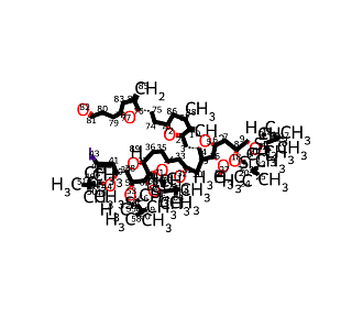 C=C1C(C[C@@H]2OC(CC(CO[Si](C)(C)C(C)(C)C)O[Si](C)(C)C(C)(C)C)[C@H](OC)C2CC(=O)CC2CC[C@@H]3O[C@@H](C(/C=C/I)O[Si](C)(C)C(C)(C)C)C(O[Si](C)(C)C(C)(C)C)C(O[Si](C)(C)C(C)(C)C)[C@H]3O2)OC(CC[C@@H]2OC(CCC=O)CC2=C)C[C@H]1C